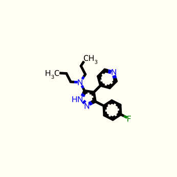 CCCN(CCC)c1[nH]nc(-c2ccc(F)cc2)c1-c1ccncc1